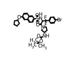 CC(C)(C)OC(=O)N[C@H]1CCN(C(=O)C(NS(=O)(=O)c2ccc3cc(OC4CCCC4)ccc3c2)C(F)(F)c2ccc(Br)cc2)C1